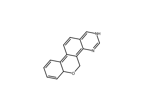 C1=CC2=c3ccc4c(c3COC2C=C1)N=CNC=4